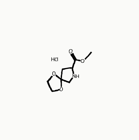 COC(=O)C1CC2(CN1)OCCO2.Cl